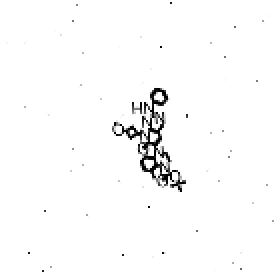 COC1CC(n2c(=O)c(N3CCN(C(=O)OC(C)(C)C)c4c(C)cccc43)cc3cnc(Nc4ccccc4)nc32)C1